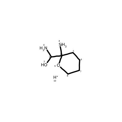 NC(O)C1([SiH3])CCCCO1.[H+]